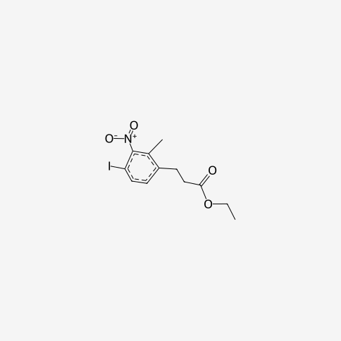 CCOC(=O)CCc1ccc(I)c([N+](=O)[O-])c1C